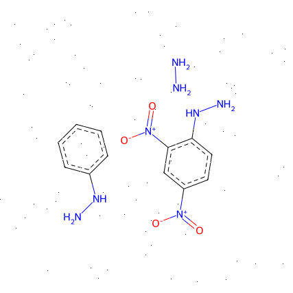 NN.NNc1ccc([N+](=O)[O-])cc1[N+](=O)[O-].NNc1ccccc1